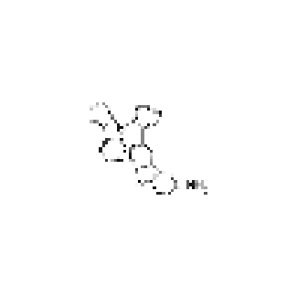 Nc1ccc2sc3ccc(-c4ccccc4-n4c5ccccc5c5ccccc54)cc3c2c1